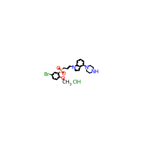 COc1ccc(Br)cc1S(=O)(=O)CC=Cn1ccc2c(N3CCNCC3)cccc21.Cl